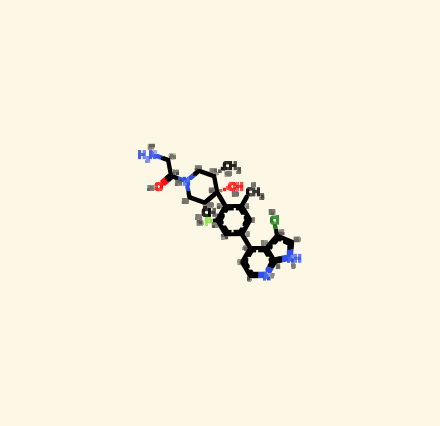 Cc1cc(-c2ccnc3[nH]cc(Cl)c23)cc(F)c1[C@@]1(O)[C@H](C)CN(C(=O)CN)C[C@@H]1C